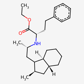 CCOC(=O)[C@H](CCc1ccccc1)N[C@@H](C)CC1[C@H](C)C[C@H]2CCCC[C@H]12